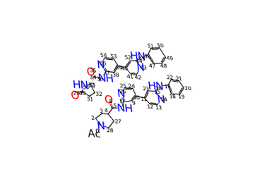 CC(=O)N1CCC(C(=O)Nc2cc(-c3ccnc(Nc4ccccc4)c3)ccn2)CC1.O=C1CC[C@@H](C(=O)Nc2cc(-c3ccnc(Nc4ccccc4)c3)ccn2)N1